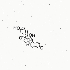 C[C@H]1C[C@H]2[C@@H]3CCC4=CC(=O)C=C[C@]4(C)C3=CC(O)[C@]2(C)[C@@]1(O)C(=O)CCC(=O)O